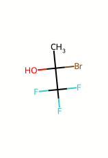 CC(O)(Br)C(F)(F)F